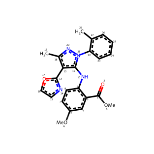 COC(=O)c1cc(OC)ccc1Nc1c(-c2ncco2)c(C)nn1-c1ccccc1C